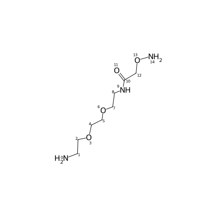 NCCOCCOCCNC(=O)CON